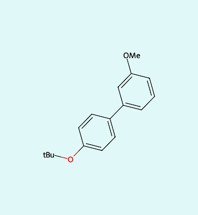 COc1cccc(-c2ccc(OC(C)(C)C)cc2)c1